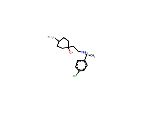 CCOC(=O)C1CCC(O)(CCN[C@@H](C)c2ccc(Br)cc2)CC1